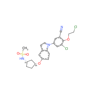 CS(=O)(=O)N[C@H]1CC[C@@H](Oc2ccc3c(ccn3-c3cc(Cl)c(OCCCl)c(C#N)c3)c2)C1